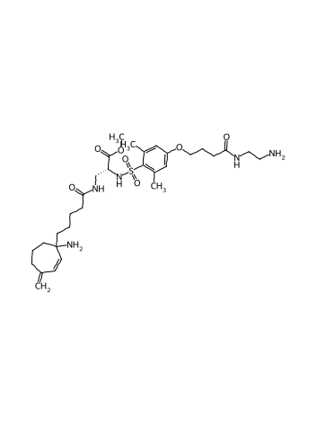 C=C1C=CC(N)(CCCCC(=O)NC[C@@H](NS(=O)(=O)c2c(C)cc(OCCCC(=O)NCCN)cc2C)C(=O)OC)CCC1